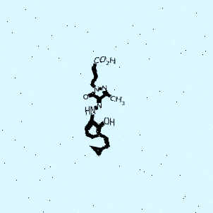 CC1=NN(CCCC(=O)O)C(=O)/C1=N\Nc1cccc(/C=C\C2CC2)c1O